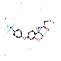 C=CC(=O)N[C@H]1c2ccc(Oc3ccc(C(F)(F)F)cc3)cc2OC[C@H]1F